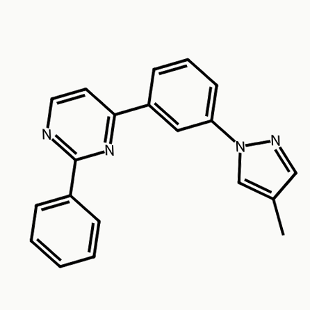 Cc1cnn(-c2cccc(-c3ccnc(-c4ccccc4)n3)c2)c1